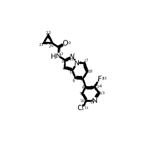 O=C(Nc1cc2cc(-c3cc(Cl)ncc3F)ccn2n1)C1CC1